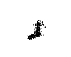 CCN(C)S(=O)(=O)Nc1ccc(F)c(C(=O)c2c[nH]c3ncc(-c4cnc(N5CCCCC5)nc4)c(F)c23)c1F